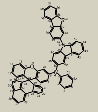 c1ccc(N(c2ccc3c(c2)Oc2ccccc2C32c3ccccc3-c3cccc4cccc2c34)c2ccc3c(c2)c2ccccc2n3-c2ccc3c(c2)sc2ccccc23)cc1